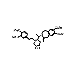 COc1ccc(CCN2CCCCC2C(C)N2CCc3cc(OC)c(OC)cc3CC2=O)cc1OC.Cl